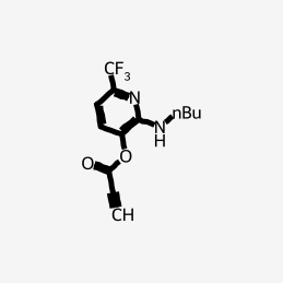 C#CC(=O)Oc1ccc(C(F)(F)F)nc1NCCCC